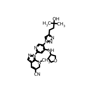 CN1CC(C#N)=Cc2cnn(-c3cc(NC4CCOC4)c(-n4cc(CCC(C)(C)O)nn4)cn3)c21